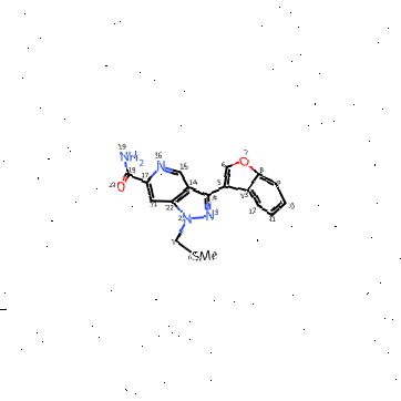 CSCn1nc(-c2coc3ccccc23)c2cnc(C(N)=O)cc21